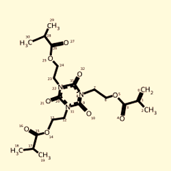 C=C(C)C(=O)OCCn1c(=O)n(CCOC(=O)C(C)C)c(=O)n(CCOC(=O)C(C)C)c1=O